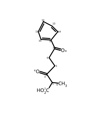 CC(C(=O)O)C(=O)CCC(=O)c1ccccc1